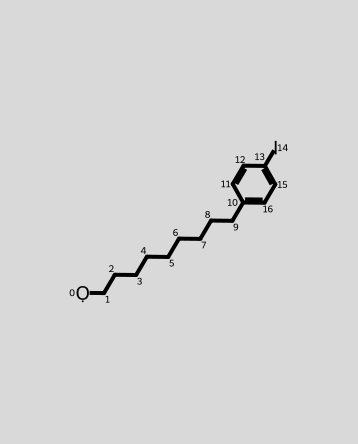 [O]CCCCCCCCCc1ccc(I)cc1